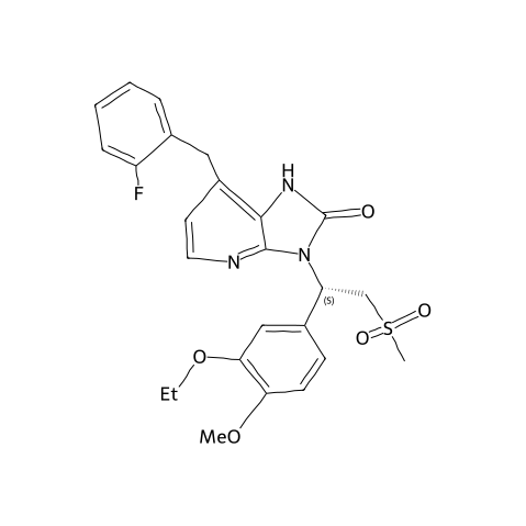 CCOc1cc([C@@H](CS(C)(=O)=O)n2c(=O)[nH]c3c(Cc4ccccc4F)ccnc32)ccc1OC